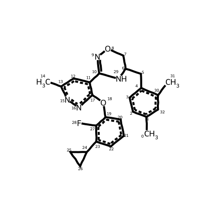 Cc1ccc(CC2CON=C(c3cc(C)nnc3Oc3cccc(C4CC4)c3F)N2)c(C)c1